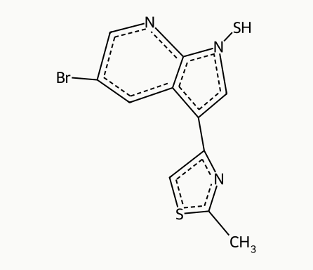 Cc1nc(-c2cn(S)c3ncc(Br)cc23)cs1